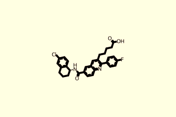 O=C(O)CCCCc1cc2cc(C(=O)N[C@@H]3CCCc4cc(Cl)ccc43)ccc2nc1-c1ccc(F)cc1